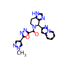 Cn1cc(-c2nnc(C(=O)N3CCc4[nH]cnc4C3c3cc4ccccn4n3)o2)cn1